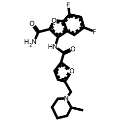 CC1CCCCN1Cc1ccc(C(=O)Nc2c(C(N)=O)oc3c(F)cc(F)cc23)o1